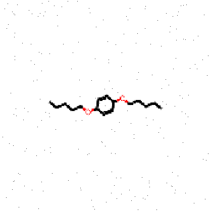 CCCCCOC1C=CC(OCCCCC)C=C1